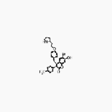 O=c1oc2cc(O)c(Br)cc2c(Cc2ccc(OCCC3CCCN3)cc2)c1-c1ccc(C(F)(F)F)cc1